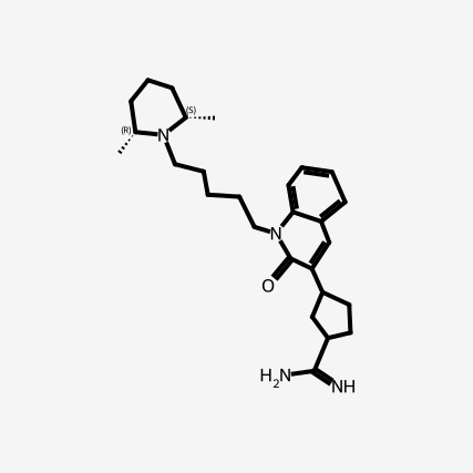 C[C@@H]1CCC[C@H](C)N1CCCCCn1c(=O)c(C2CCC(C(=N)N)C2)cc2ccccc21